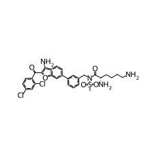 CS(=O)(=O)N(Cc1cccc(-c2ccc3c(N)c(C(=O)c4ccc(Cl)cc4Cl)oc3c2)c1)C(=O)[C@@H](N)CCCCN